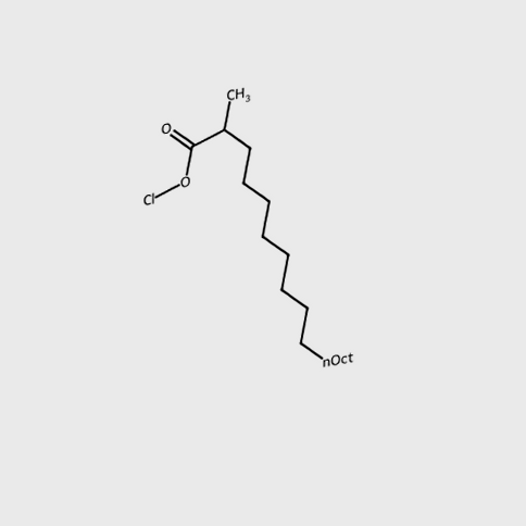 CCCCCCCCCCCCCCCCC(C)C(=O)OCl